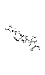 O=C(O)c1cc(-c2nc3cc(N4CCCC4)ccc3o2)ccn1